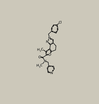 Cc1c(C(=O)N(C)Cc2ccncc2)oc2c1-c1nn(Cc3ccc(Cl)cc3)cc1CC2